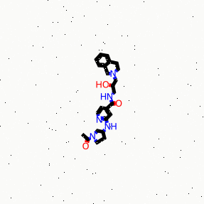 CC(=O)N1CCC(Nc2cc(C(=O)NCC(O)CN3CCc4ccccc4C3)ccn2)C1